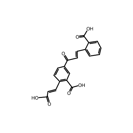 O=C(O)C=Cc1ccc(C(=O)C=Cc2ccccc2C(=O)O)cc1C(=O)O